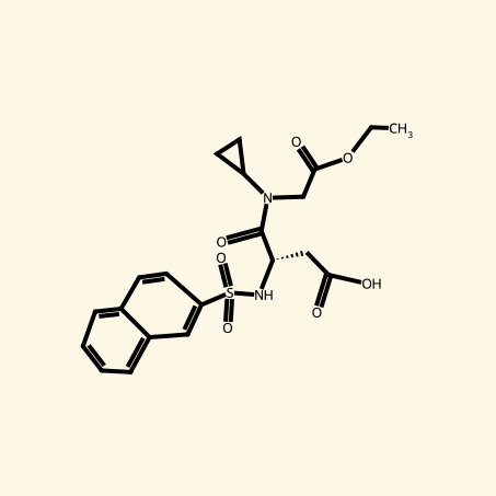 CCOC(=O)CN(C(=O)[C@H](CC(=O)O)NS(=O)(=O)c1ccc2ccccc2c1)C1CC1